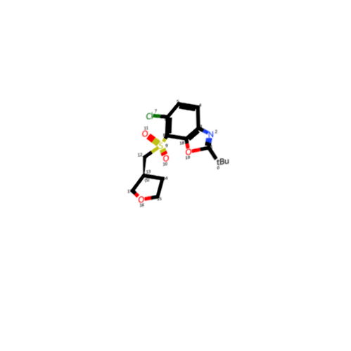 CC(C)(C)c1nc2ccc(Cl)c(S(=O)(=O)C[C@H]3CCOC3)c2o1